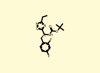 CCc1noc([C@H](Cc2ccc(F)cc2F)NC(=O)OC(C)(C)C)n1